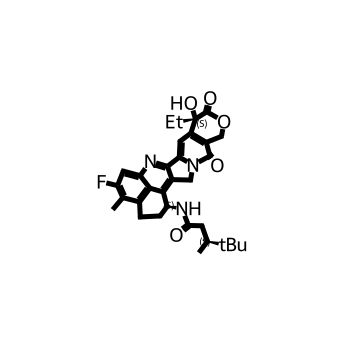 CC[C@@]1(O)C(=O)OCc2c1cc1n(c2=O)Cc2c-1nc1cc(F)c(C)c3c1c2[C@@H](NC(=O)C[C@H](C)C(C)(C)C)CC3